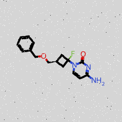 Nc1ccn([C@]2(F)C[C@@H](COCc3ccccc3)C2)c(=O)n1